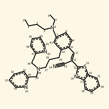 CCCCN(CC)c1ccc(/C=C(\C#N)c2nc3ccccc3s2)c(CCCN(Cc2ccccn2)Cc2ccccn2)c1